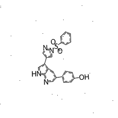 O=S(=O)(c1ccccc1)n1cc(-c2c[nH]c3ncc(-c4ccc(O)cc4)cc23)cn1